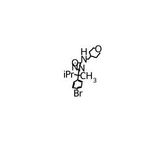 CC(C)C(C)(c1ccc(Br)cc1)c1noc(NCC2CCOCC2)n1